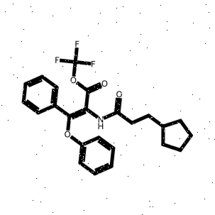 O=C(CCC1CCCC1)NC(C(=O)OC(F)(F)F)=C(Oc1ccccc1)c1ccccc1